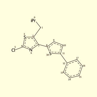 CC(C)Cc1sc(Cl)nc1-c1ccc(-c2ccccc2)s1